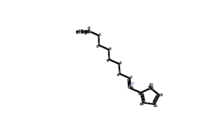 CCCCCCCCCCCCC/C=C/C1=CC=C[N]1